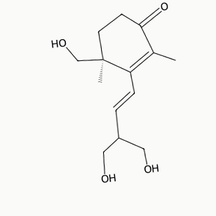 CC1=C(/C=C/C(CO)CO)[C@@](C)(CO)CCC1=O